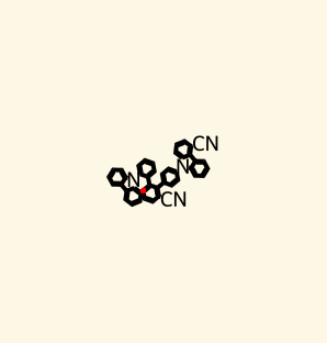 N#Cc1cccc(-c2ccccc2-n2c3ccccc3c3ccccc32)c1-c1ccc(-n2c3ccccc3c3c(C#N)cccc32)cc1